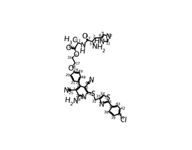 C[C@H](NC(=O)[C@@H](N)Cc1cnc[nH]1)C(=O)OCCOc1ccc(-c2c(C#N)c(N)nc(SCc3csc(-c4ccc(Cl)cc4)n3)c2C#N)cc1